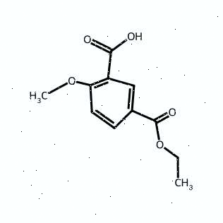 CCOC(=O)c1ccc(OC)c(C(=O)O)c1